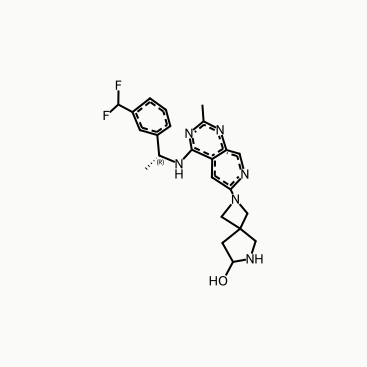 Cc1nc(N[C@H](C)c2cccc(C(F)F)c2)c2cc(N3CC4(CNC(O)C4)C3)ncc2n1